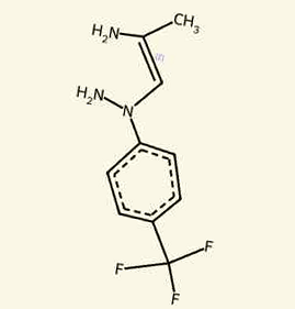 C/C(N)=C/N(N)c1ccc(C(F)(F)F)cc1